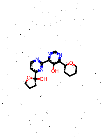 Oc1c(-c2nccc(C3(O)CCCO3)n2)n[c]nc1C1CCCCO1